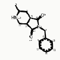 CC1CC2C(=O)N(Cc3ccccc3)C(=O)C2CN1